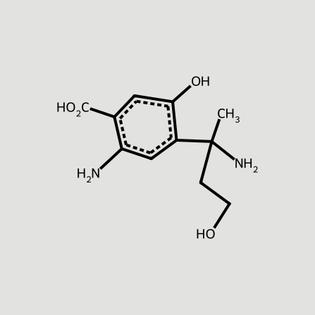 CC(N)(CCO)c1cc(N)c(C(=O)O)cc1O